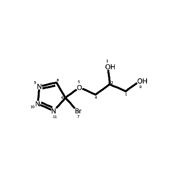 OCC(O)COC1(Br)C=NN=N1